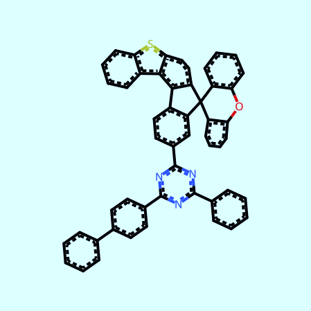 c1ccc(-c2ccc(-c3nc(-c4ccccc4)nc(-c4ccc5c(c4)C4(c6ccccc6Oc6ccccc64)c4ccc6sc7ccccc7c6c4-5)n3)cc2)cc1